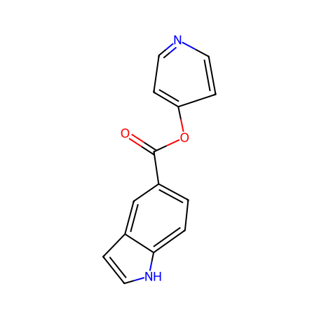 O=C(Oc1ccncc1)c1ccc2[nH]ccc2c1